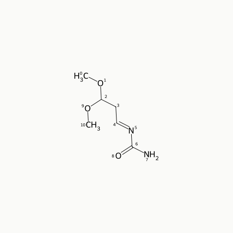 COC(CC=NC(N)=O)OC